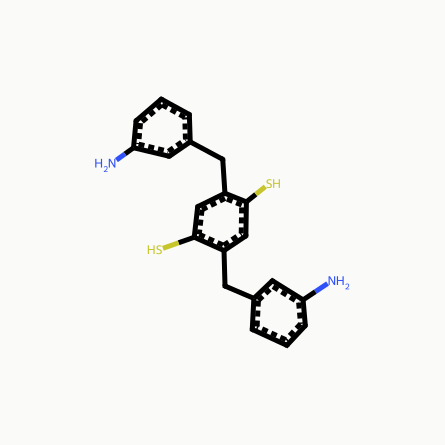 Nc1cccc(Cc2cc(S)c(Cc3cccc(N)c3)cc2S)c1